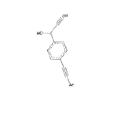 C#CC(O)c1ccc(C#CC(C)=O)cc1